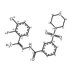 C/C(=N/NC(=O)c1cccc(S(=O)(=O)N2CCOCC2)c1)c1cccc(Cl)c1F